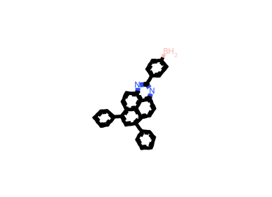 Bc1ccc(-c2nc3ccc4c(-c5ccccc5)cc(-c5ccccc5)c5ccc(n2)c3c45)cc1